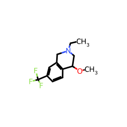 CCN1Cc2cc(C(F)(F)F)ccc2C(OC)C1